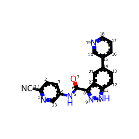 N#Cc1ccc(NC(=O)c2n[nH]c3ccc(-c4cccnc4)cc23)cn1